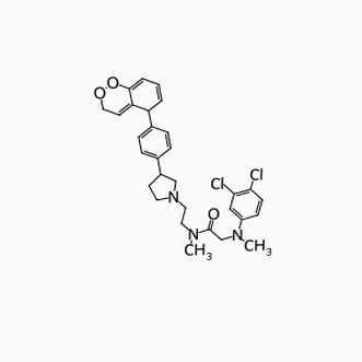 CN(CCN1CCC(c2ccc(C3C=CC=C4OOCC=C43)cc2)C1)C(=O)CN(C)c1ccc(Cl)c(Cl)c1